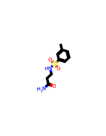 Cc1cccc(S(=O)(=O)NCCC(N)=O)c1